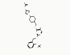 CC(=O)OC1CN(C2CCC(CNc3nc(NCc4ccccc4OC(F)(F)F)ncc3[N+](=O)[O-])CC2)C1